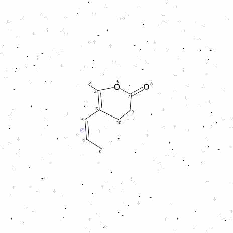 C/C=C\C1=C(C)OC(=O)CC1